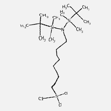 CC(C)(C)[Si](C)(C)N(CCCCCC[Si](Cl)(Cl)Cl)[Si](C)(C)C(C)(C)C